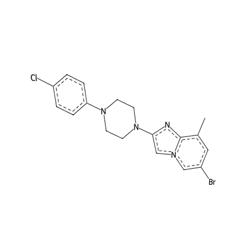 Cc1cc(Br)cn2cc(N3CCN(c4ccc(Cl)cc4)CC3)nc12